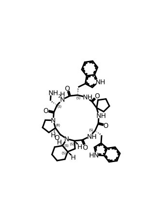 NC[C@@H]1NC(=O)[C@H](Cc2c[nH]c3ccccc23)NC(=O)C2(CCCC2)NC(=O)[C@H](Cc2c[nH]c3ccccc23)NC(=O)[C@@H]2C[C@@H]3CCCC[C@@H]3N2C(=O)[C@H]2CCCN2C1=O